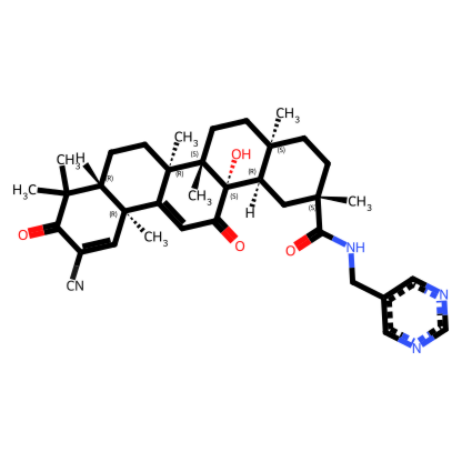 CC1(C)C(=O)C(C#N)=C[C@]2(C)C3=CC(=O)[C@]4(O)[C@@H]5C[C@@](C)(C(=O)NCc6cncnc6)CC[C@]5(C)CC[C@@]4(C)[C@]3(C)CC[C@@H]12